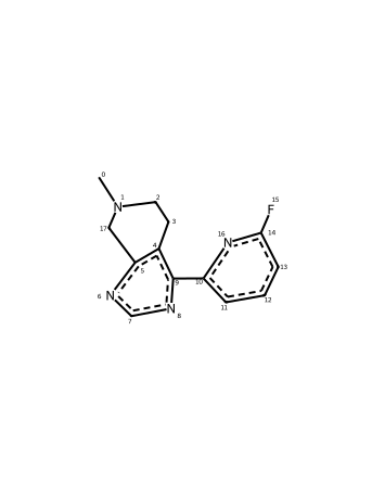 CN1CCc2c(ncnc2-c2cccc(F)n2)C1